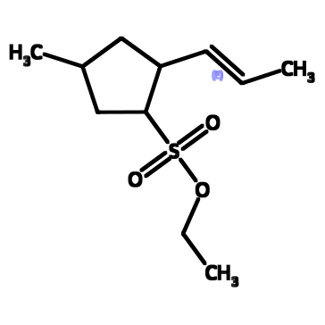 C/C=C/C1CC(C)CC1S(=O)(=O)OCC